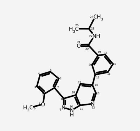 COc1ccccc1-c1n[nH]c2ncc(-c3cccc(C(=O)NC(C)C)c3)cc12